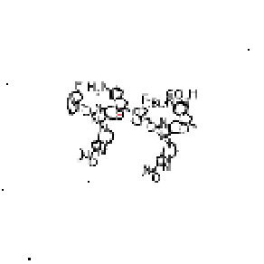 CN(C)C(=O)c1cc2n(n1)CCCN(c1nc(OC[C@@]34CCCN3C[C@H](F)C4)nc3c1COC1(C3)c3cc(N(C(=O)O)C(C)(C)C)ccc3CC1(C)C)C2.CN(C)C(=O)c1cc2n(n1)CCCN(c1nc(OC[C@@]34CCCN3C[C@H](F)C4)nc3c1COC1(C3)c3cc(N)ccc3CC1(C)C)C2